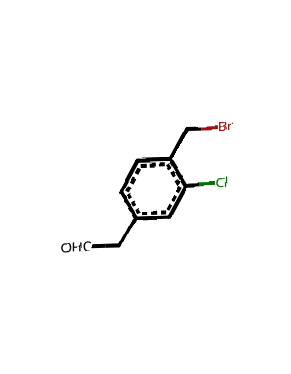 O=CCc1ccc(CBr)c(Cl)c1